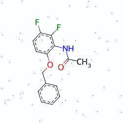 CC(=O)Nc1c(OCc2ccccc2)ccc(F)c1F